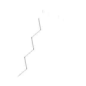 CCCCCCC.[B+3].[Cl-].[Cl-].[Cl-]